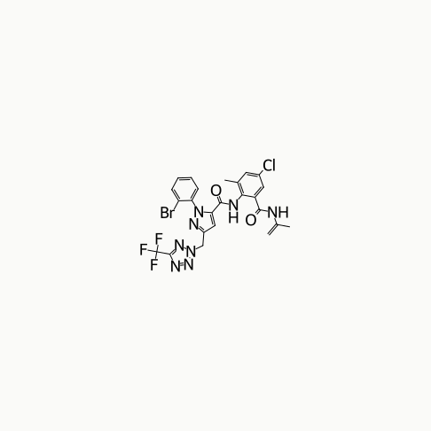 C=C(C)NC(=O)c1cc(Cl)cc(C)c1NC(=O)c1cc(Cn2nnc(C(F)(F)F)n2)nn1-c1ccccc1Br